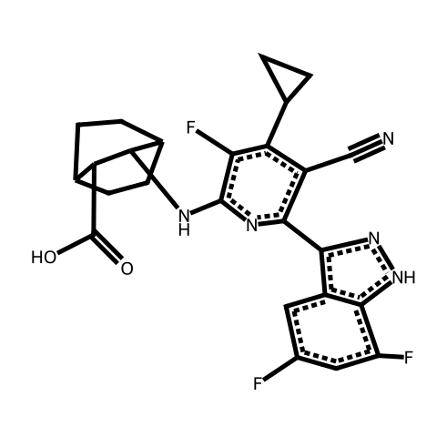 N#Cc1c(-c2n[nH]c3c(F)cc(F)cc23)nc(NC2C3CCC(CC3)C2C(=O)O)c(F)c1C1CC1